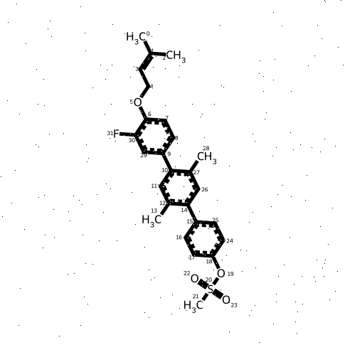 CC(C)=CCOc1ccc(-c2cc(C)c(-c3ccc(OS(C)(=O)=O)cc3)cc2C)cc1F